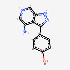 Nc1cncc2[nH]nc(-c3ccc(O)cc3)c12